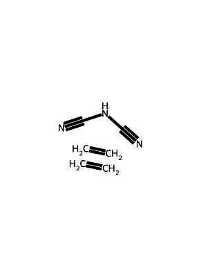 C=C.C=C.N#CNC#N